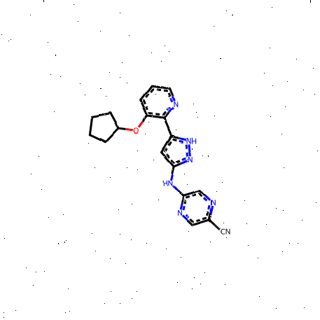 N#Cc1cnc(Nc2cc(-c3ncccc3OC3CCCC3)[nH]n2)cn1